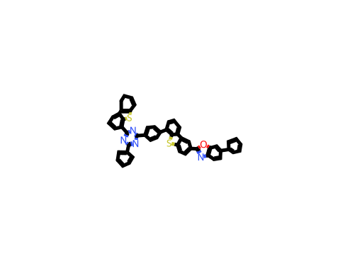 C1=Cc2sc3c(-c4nc(-c5ccccc5)nc(-c5ccc(-c6cccc7c6sc6ccc(-c8nc9ccc(-c%10ccccc%10)cc9o8)cc67)cc5)n4)cccc3c2CC1